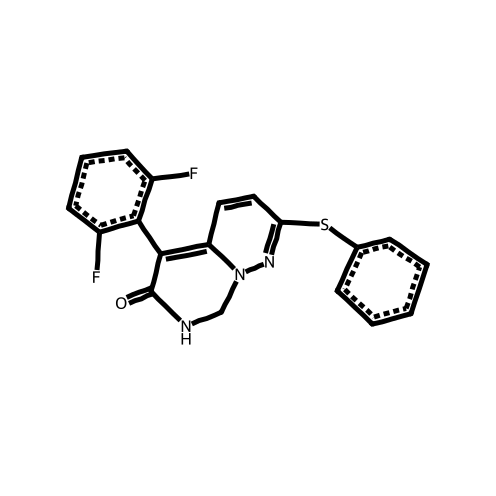 O=C1NCN2N=C(Sc3ccccc3)C=CC2=C1c1c(F)cccc1F